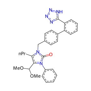 CCCc1c(C(OC)OC)n(-c2ccccc2)c(=O)n1Cc1ccc(-c2ccccc2-c2nnn[nH]2)cc1